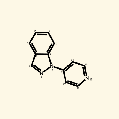 c1ccc2c(c1)cnn2-c1ccncc1